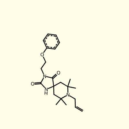 C=CCN1C(C)(C)CC2(CC1(C)C)NC(=O)N(CCOc1ccccc1)C2=O